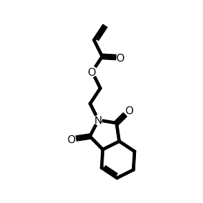 C=CC(=O)OCCN1C(=O)C2C=CCCC2C1=O